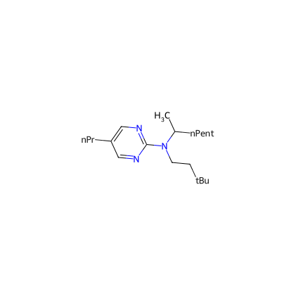 CCCCCC(C)N(CCC(C)(C)C)c1ncc(CCC)cn1